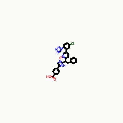 O=C(O)c1ccc(-c2cnc(C(Cc3ccccc3)c3ccc(-c4cc(Cl)ccc4-n4cnnn4)c[n+]3[O-])[nH]2)cc1